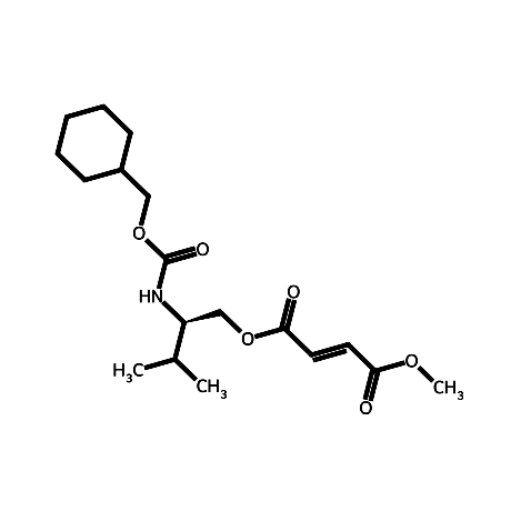 COC(=O)/C=C/C(=O)OC[C@H](NC(=O)OCC1CCCCC1)C(C)C